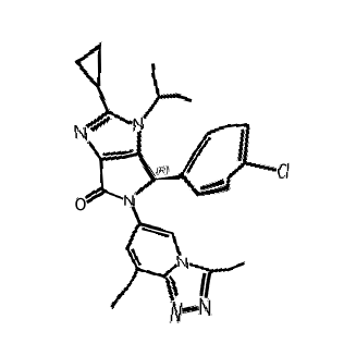 Cc1cc(N2C(=O)c3nc(C4CC4)n(C(C)C)c3[C@H]2c2ccc(Cl)cc2)cn2c(C)nnc12